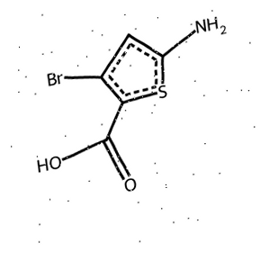 Nc1cc(Br)c(C(=O)O)s1